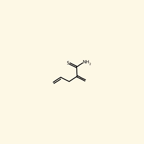 C=CCC(=C)C(N)=S